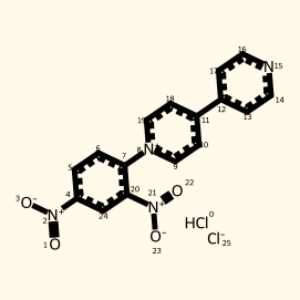 Cl.O=[N+]([O-])c1ccc(-[n+]2ccc(-c3ccncc3)cc2)c([N+](=O)[O-])c1.[Cl-]